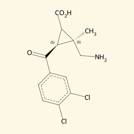 C[C@@]1(CN)C(C(=O)O)[C@@H]1C(=O)c1ccc(Cl)c(Cl)c1